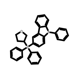 c1ccc(-n2c3ccccc3c3cc(S(c4ccccc4)(c4ccccc4)C4CCOC4)ccc32)cc1